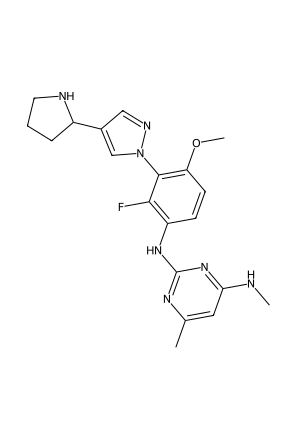 CNc1cc(C)nc(Nc2ccc(OC)c(-n3cc(C4CCCN4)cn3)c2F)n1